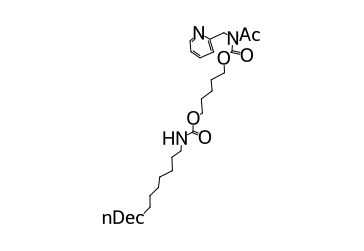 CCCCCCCCCCCCCCCCCNC(=O)OCCCCCOC(=O)N(Cc1ccccn1)C(C)=O